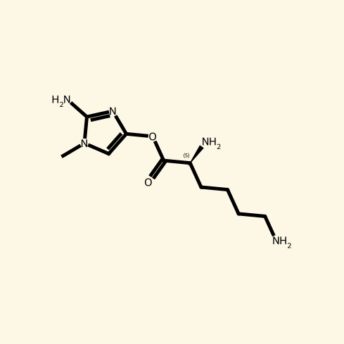 Cn1cc(OC(=O)[C@@H](N)CCCCN)nc1N